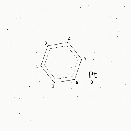 [Pt].c1ccccc1